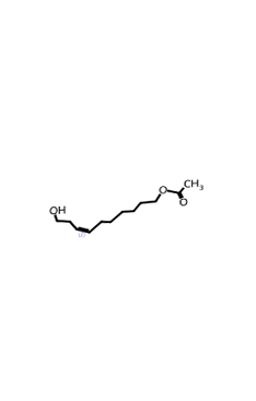 CC(=O)OCCCCCC/C=C\CCO